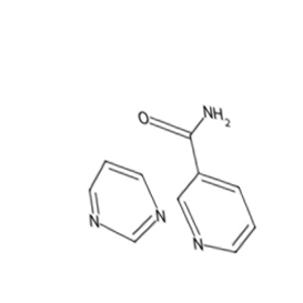 NC(=O)c1cccnc1.c1cncnc1